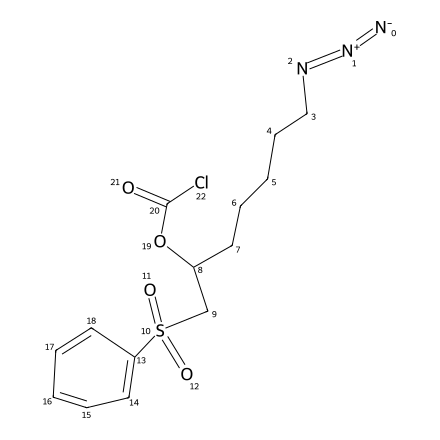 [N-]=[N+]=NCCCCCC(CS(=O)(=O)c1ccccc1)OC(=O)Cl